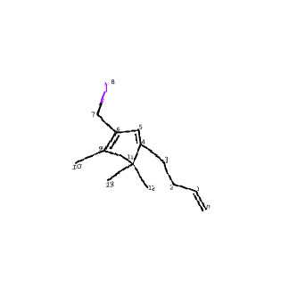 C=CCCC1=CC(CI)=C(C)C1(C)C